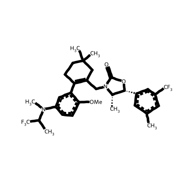 COc1ccc(N(C)C(C)C(F)(F)F)cc1C1=C(CN2C(=O)O[C@H](c3cc(C)cc(C(F)(F)F)c3)[C@@H]2C)CC(C)(C)CC1